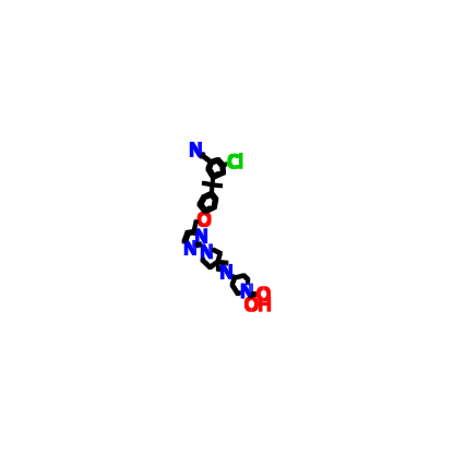 CC(C)(c1ccc(OCc2ccnc(N3CCC4(CC3)CN(C3CCN(C(=O)O)CC3)C4)n2)cc1)c1cc(Cl)cc(C#N)c1